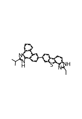 CCc1nc2c(ccc3c4ccc(-c5ccc6c(c5)c5ccccc5c5nc(C(C)C)[nH]c65)cc4sc32)[nH]1